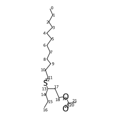 CCCCCCCCCCCCSC(CCC)CCOC(C)=O